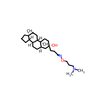 CN(C)CCCON=CCC[C@]1(O)CC[C@@]2(C)[C@H](CC[C@H]3[C@@H]4CCC[C@@]4(C)CC[C@@H]32)C1